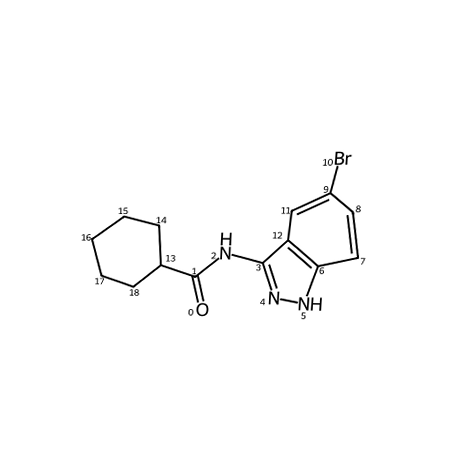 O=C(Nc1n[nH]c2ccc(Br)cc12)C1CCCCC1